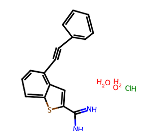 Cl.N=C(N)c1cc2c(C#Cc3ccccc3)cccc2s1.O.O